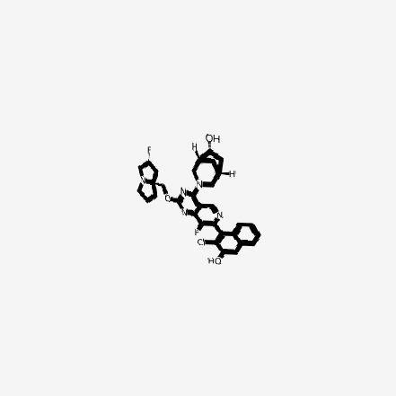 Oc1cc2ccccc2c(-c2ncc3c(N4C[C@@H]5C[C@H](C4)[C@H](O)C5)nc(OC[C@@]45CCCN4C[C@H](F)C5)nc3c2F)c1Cl